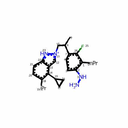 CCCc1c(NN)ccc(C(C)C[n+]2cc3c(C4CC4)c(C(C)C)ccc3[nH]2)c1F